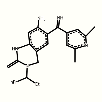 C=C1Nc2cc(N)c(C(=N)c3cc(C)nc(C)c3)cc2CN1C(CC)CCC